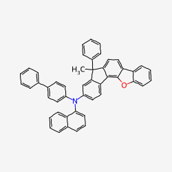 CC1(c2ccccc2)c2cc(N(c3ccc(-c4ccccc4)cc3)c3cccc4ccccc34)ccc2-c2c1ccc1c2oc2ccccc21